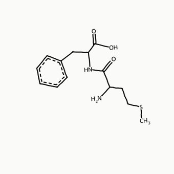 CSCCC(N)C(=O)NC(Cc1ccccc1)C(=O)O